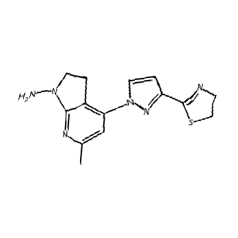 Cc1cc(-n2ccc(C3=NCCS3)n2)c2c(n1)N(N)CC2